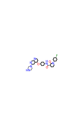 O=C(Nc1ccc(Oc2ccnc3cnc(N4CCNCC4)cc23)cc1)c1cccn(-c2ccc(F)cc2)c1=O